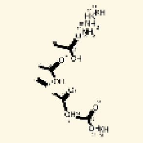 C=C.CC(=O)O.CC(=O)O.CC(=O)O.CC(=O)O.N.N.[KH].[KH].[KH]